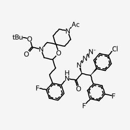 CC(=O)N1CCC2(CC1)CN(C(=O)OC(C)(C)C)CC(CCc1c(F)cccc1NC(=O)[C@@H](N=[N+]=[N-])[C@@H](c1ccc(Cl)cc1)c1cc(F)cc(F)c1)O2